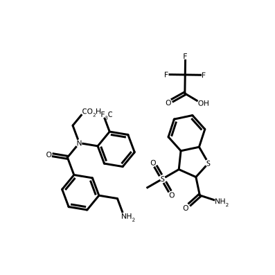 CS(=O)(=O)C1C(C(N)=O)SC2C=CC=CC21.NCc1cccc(C(=O)N(CC(=O)O)c2ccccc2C(F)(F)F)c1.O=C(O)C(F)(F)F